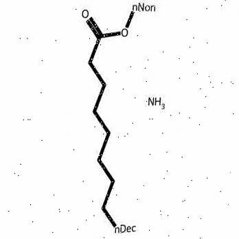 CCCCCCCCCCCCCCCCCC(=O)OCCCCCCCCC.N